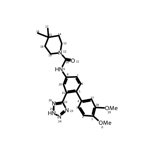 COc1ccc(-c2ccc(NC(=O)N3CCC(C)(C)CC3)cc2-c2nn[nH]n2)cc1OC